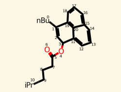 CCCCC1=CC(OC(=O)CCCC(C)C)c2cccc3cccc1c23